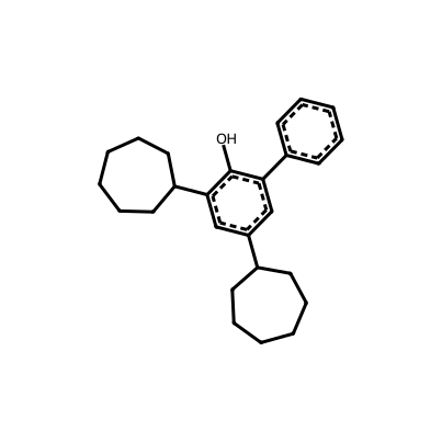 Oc1c(-c2ccccc2)cc(C2CCCCCC2)cc1C1CCCCCC1